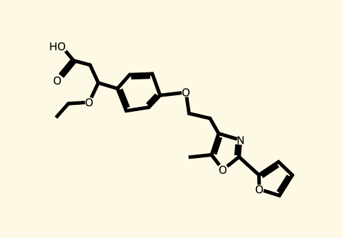 CCOC(CC(=O)O)c1ccc(OCCc2nc(-c3ccco3)oc2C)cc1